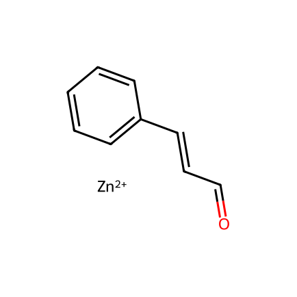 O=CC=Cc1ccccc1.[Zn+2]